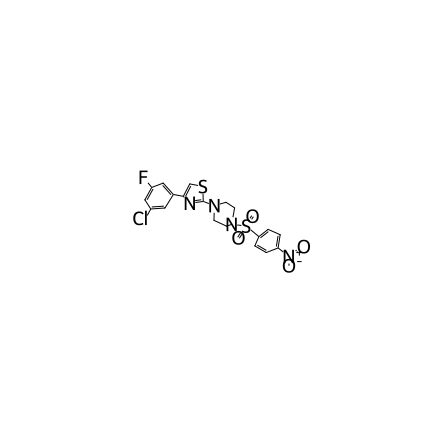 O=[N+]([O-])c1ccc(S(=O)(=O)N2CCN(c3nc(-c4cc(F)cc(Cl)c4)cs3)CC2)cc1